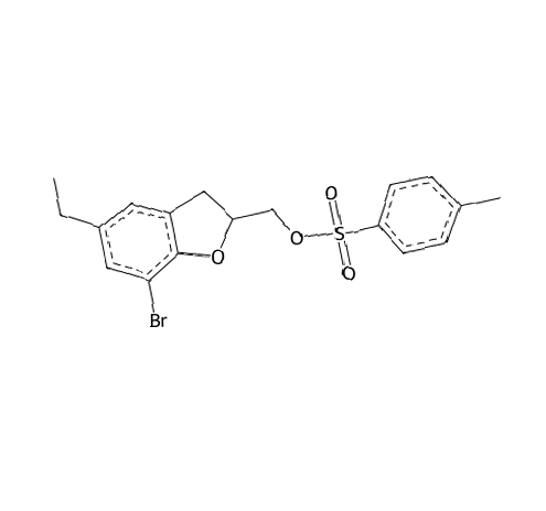 CCc1cc(Br)c2c(c1)CC(COS(=O)(=O)c1ccc(C)cc1)O2